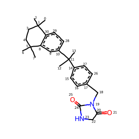 CC1(C)CCC(C)(C)c2cc(C(C)(C)c3ccc(CN4C(=O)CNC4=O)cc3)ccc21